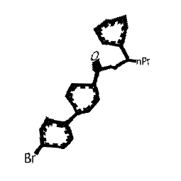 [CH2]CCC(CC(=O)c1ccc(-c2ccc(Br)cc2)cc1)c1ccccc1